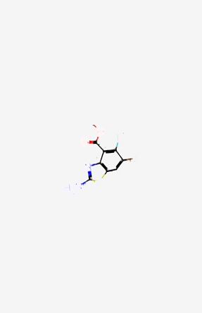 COC(=O)c1c(F)c(Br)cc2sc(N)nc12